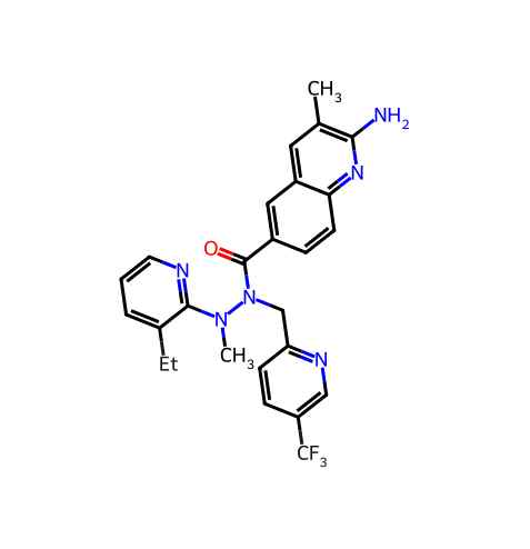 CCc1cccnc1N(C)N(Cc1ccc(C(F)(F)F)cn1)C(=O)c1ccc2nc(N)c(C)cc2c1